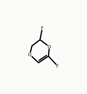 FC1=COCC(F)O1